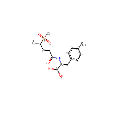 CCC(CCC(=O)N[C@@H](Cc1ccc(C)cc1)B(O)O)S(=O)(=O)CC